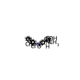 C[C@H](NC(=O)C1CCN(C(=O)/C=C/c2ccc(N3CCCCC3)c(Cl)c2Cl)CC1)C(=O)O